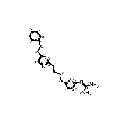 NC(N)=Nc1nc(CSCCc2ncc(CCc3ccccc3)o2)cs1